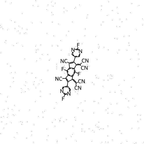 N#CC(C#N)=C1C(c2cnc(F)nc2)=C(C#N)c2c(F)c3c(c(F)c21)C(=C(C#N)C#N)C(c1cnc(F)nc1)=C3C#N